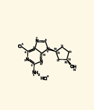 Cl.Nc1nc(Cl)c2ncn([C@H]3CC[C@@H](O)C3)c2n1